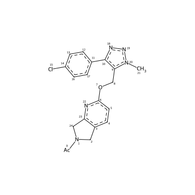 CC(=O)N1Cc2ccc(OCc3c(-c4ccc(Cl)cc4)nnn3C)nc2C1